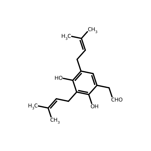 CC(C)=CCc1cc(CC=O)c(O)c(CC=C(C)C)c1O